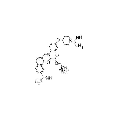 CCOC(=O)C(=O)N(Cc1ccc2ccc(C(=N)N)cc2c1)c1ccc(OC2CCN(C(C)=N)CC2)cc1.Cl.Cl